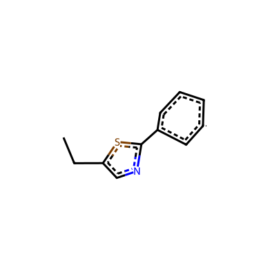 CCc1cnc(-c2c[c]ccc2)s1